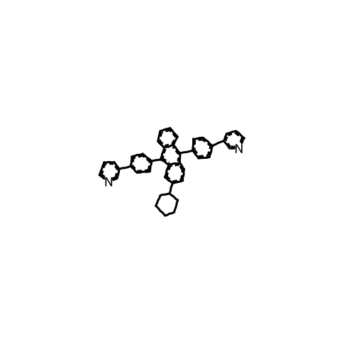 c1cncc(-c2ccc(-c3c4ccccc4c(-c4ccc(-c5cccnc5)cc4)c4cc(C5CCCCC5)ccc34)cc2)c1